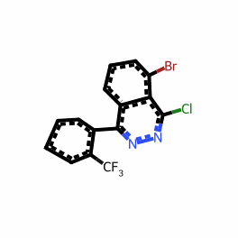 FC(F)(F)c1ccccc1-c1nnc(Cl)c2c(Br)cccc12